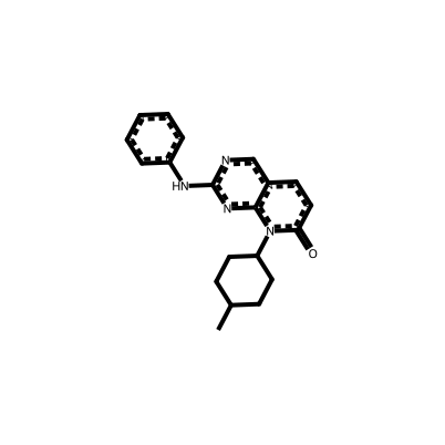 CC1CCC(n2c(=O)ccc3cnc(Nc4ccccc4)nc32)CC1